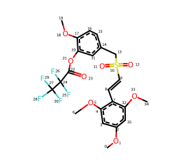 COc1cc(OC)c(/C=C/S(=O)(=O)Cc2ccc(OC)c(OC(=O)C(F)(F)C(F)(F)F)c2)c(OC)c1